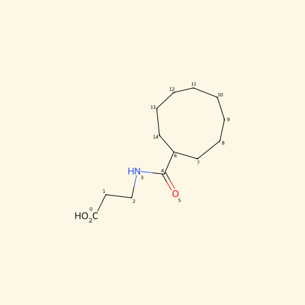 O=C(O)CCNC(=O)C1CCCCCCCC1